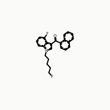 O=C(c1cccc2ccccc12)c1cn(CCCCCF)c2cccc(F)c12